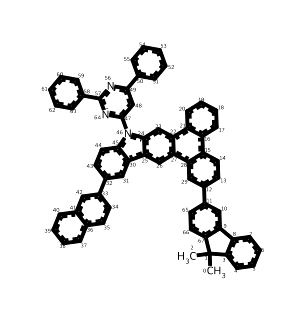 CC1(C)c2ccccc2-c2cc(-c3ccc4c5ccccc5c5cc6c(cc5c4c3)c3cc(-c4ccc5ccccc5c4)ccc3n6-c3cc(-c4ccccc4)nc(-c4ccccc4)n3)ccc21